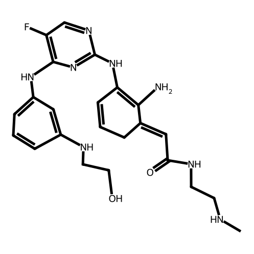 CNCCNC(=O)C=C1CC=CC(Nc2ncc(F)c(Nc3cccc(NCCO)c3)n2)=C1N